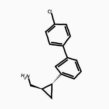 NC[C@@H]1C[C@H]1c1cccc(-c2ccc(Cl)cc2)c1